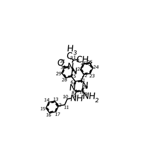 CC(C)n1nc(-c2nc(NCCc3ccccc3)c(N)nc2-c2ccccc2)ccc1=O